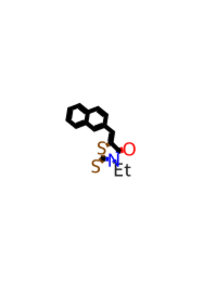 CCN1C(=O)C(=Cc2ccc3ccccc3c2)SC1=S